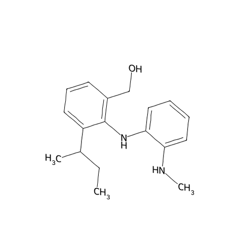 CCC(C)c1cccc(CO)c1Nc1ccccc1NC